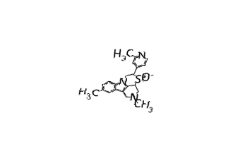 Cc1ccc2c(c1)c1c3n2CC(c2ccnc(C)c2)[S+]([O-])C3CN(C)C1